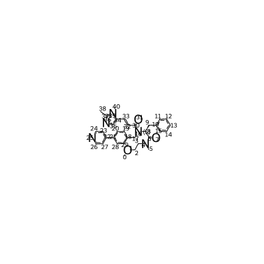 COCCN(C)C(=O)[C@H](Cc1ccccc1)N(Cc1ccc(-c2ccncc2)cc1)C(=O)C=Cc1cnc(C)n1C